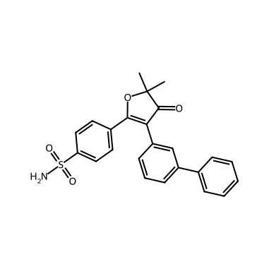 CC1(C)OC(c2ccc(S(N)(=O)=O)cc2)=C(c2cccc(-c3ccccc3)c2)C1=O